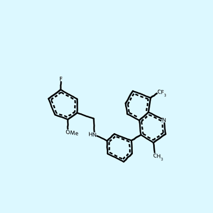 COc1ccc(F)cc1CNc1cccc(-c2c(C)cnc3c(C(F)(F)F)cccc23)c1